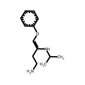 CC(C)NC(=COc1ccccc1)CCN